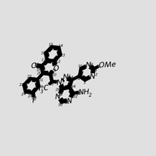 COc1ncc(-c2nn(C(C)c3oc4ccccc4c(=O)c3-c3cccc(F)c3)c3ncnc(N)c23)cn1